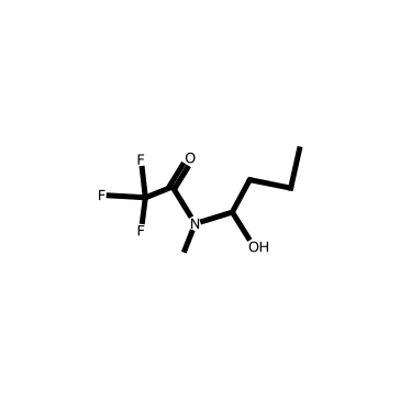 CCCC(O)N(C)C(=O)C(F)(F)F